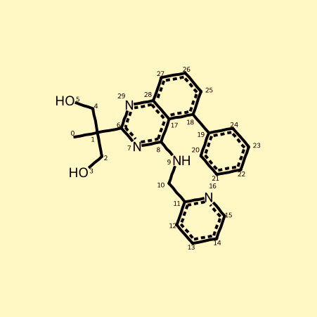 CC(CO)(CO)c1nc(NCc2ccccn2)c2c(-c3ccccc3)cccc2n1